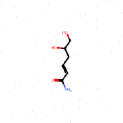 NC(=O)C=CCC(O)CO